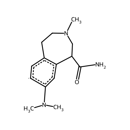 CN1CCc2c[c]c(N(C)C)cc2C(C(N)=O)C1